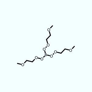 COCCOOB(OOCCOC)OOCCOC